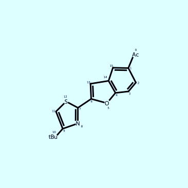 CC(=O)c1ccc2oc(-c3nc(C(C)(C)C)cs3)cc2c1